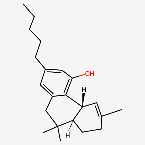 CCCCCc1cc(O)c2c(c1)CC(C)(C)[C@@H]1CCC(C)=C[C@@H]21